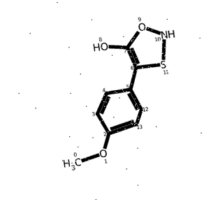 COc1ccc(C2=C(O)ONS2)cc1